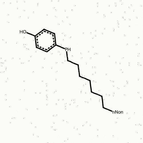 CCCCCCCCCCCCCCCCPc1ccc(O)cc1